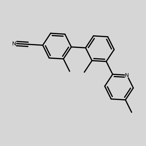 Cc1ccc(-c2cccc(-c3ccc(C#N)cc3C)c2C)nc1